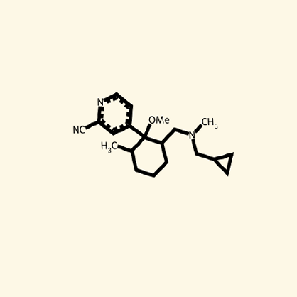 COC1(c2ccnc(C#N)c2)C(C)CCCC1CN(C)CC1CC1